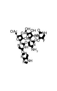 CC(=O)OC[C@H]1O[C@@H](n2ncc(=O)[nH]c2=O)[C@H](OC(C)=O)[C@@H]1OC(C)=O.Nc1ccn([C@@H]2O[C@H](CO)[C@@H](O)[C@@H]2O)c(=O)n1.O=c1[nH]cc(F)c(=O)[nH]1.c1ncc2[nH]cnc2n1